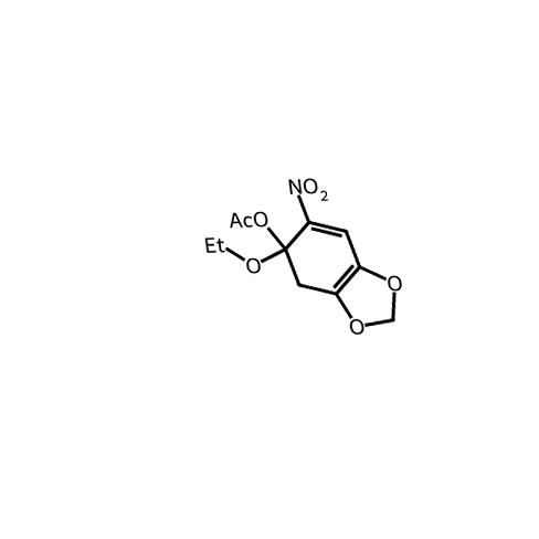 CCOC1(OC(C)=O)CC2=C(C=C1[N+](=O)[O-])OCO2